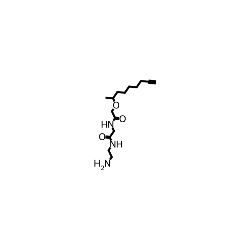 C#CCCCCCC(C)OCC(=O)NCC(=O)NCCN